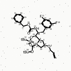 C=CCO[C@@H]1C[C@H]([C@@H](O[Si](C)(C)C(C)(C)C)[C@H](Cc2cc(F)cc(F)c2)NC(=O)OCc2ccccc2)N(C(=O)OC(C)(C)C)C1